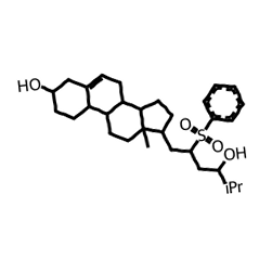 CC(C)C(O)CC(CC1CCC2C3CC=C4CC(O)CCC4C3CCC12C)S(=O)(=O)c1ccccc1